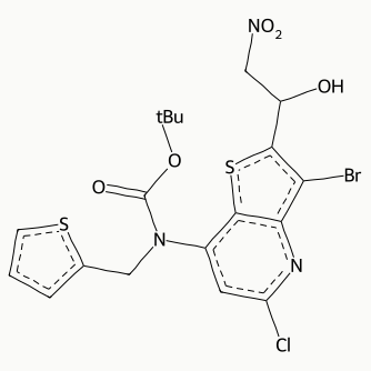 CC(C)(C)OC(=O)N(Cc1cccs1)c1cc(Cl)nc2c(Br)c(C(O)C[N+](=O)[O-])sc12